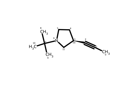 CC#C[C@@H]1CCN(C(C)(C)C)C1